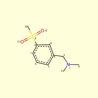 CN(C)Cc1cccc(S(C)(=O)=O)c1